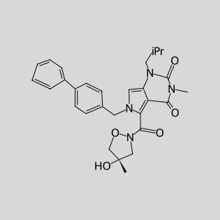 CC(C)Cn1c(=O)n(C)c(=O)c2c(C(=O)N3C[C@](C)(O)CO3)n(Cc3ccc(-c4ccccc4)cc3)cc21